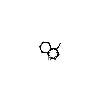 Clc1ccnc2c1CCCC2